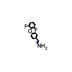 N/C=C/c1ccc(Oc2c(F)cccc2F)cc1